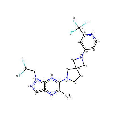 Cc1nc2cnn(CC(F)F)c2nc1N1CCC2(CN(c3ccnc(C(F)(F)F)c3)C2)C1